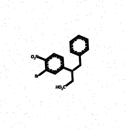 O=C(O)CN(Cc1ccccc1)c1ccc([N+](=O)[O-])c(Br)c1